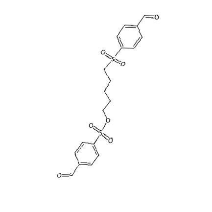 O=Cc1ccc(S(=O)(=O)CCCCCOS(=O)(=O)c2ccc(C=O)cc2)cc1